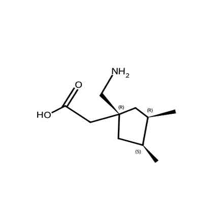 C[C@@H]1C[C@@](CN)(CC(=O)O)C[C@@H]1C